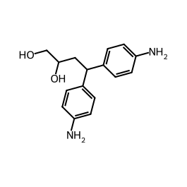 Nc1ccc(C(CC(O)CO)c2ccc(N)cc2)cc1